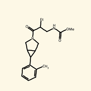 CCC(CNC(=O)OC)C(=O)N1CC2C(C1)C2c1ccccc1C